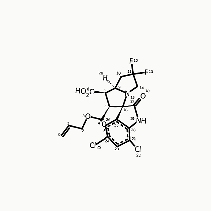 C=CCOC(=O)[C@H]1[C@@H](C(=O)O)[C@H]2CC(F)(F)CN2[C@]12C(=O)Nc1c(Cl)cc(Cl)cc12